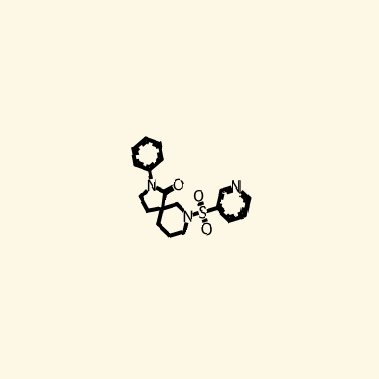 O=C1N(c2ccccc2)CCC12CCCN(S(=O)(=O)c1cccnc1)C2